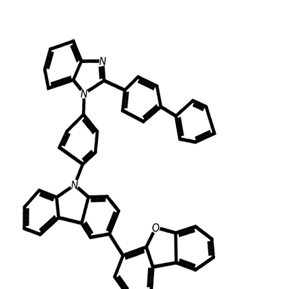 c1ccc(-c2ccc(-c3nc4ccccc4n3-c3ccc(-n4c5ccccc5c5cc(-c6cccc7c6oc6ccccc67)ccc54)cc3)cc2)cc1